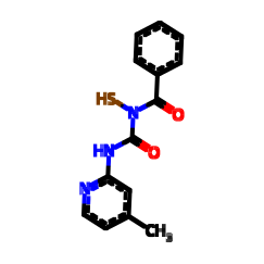 Cc1ccnc(NC(=O)N(S)C(=O)c2ccccc2)c1